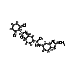 Cc1nc2cc(NC(=O)c3ccc4oc(-c5c(Cl)cccc5Cl)nc4c3)ccc2s1